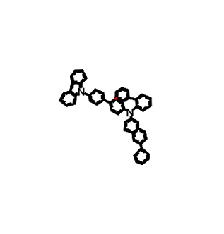 c1ccc(-c2ccc3cc(N(c4ccc(-c5ccc(-n6c7ccccc7c7ccccc76)cc5)cc4)c4ccccc4-c4ccccc4)ccc3c2)cc1